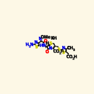 CO/N=C(\C(=O)N[C@@H]1C(=O)N2C(C(=O)O)=C(CSc3nc(C)c(CC(=O)O)s3)CS[C@H]12)c1csc(N)n1.[KH]